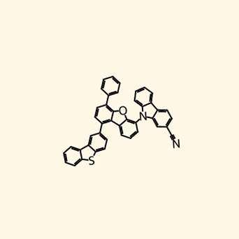 N#Cc1ccc2c3ccccc3n(-c3cccc4c3oc3c(-c5ccccc5)ccc(-c5ccc6sc7ccccc7c6c5)c34)c2c1